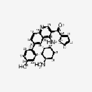 N[C@H]1CC[C@H](Nc2c(C(=O)c3cccs3)cnc3ccc(-c4ccc(O)cc4)cc23)CC1